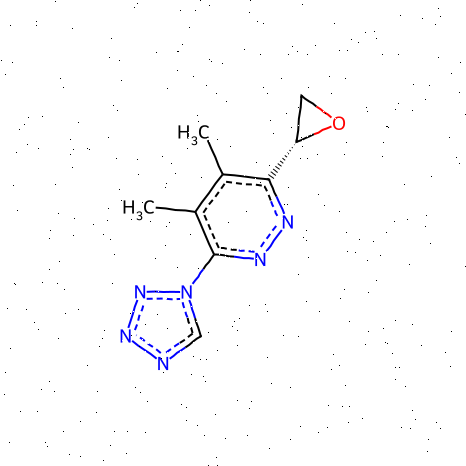 Cc1c([C@@H]2CO2)nnc(-n2cnnn2)c1C